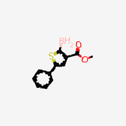 Bc1sc(-c2ccccc2)cc1C(=O)OC